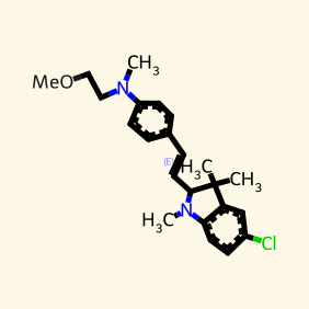 COCCN(C)c1ccc(/C=C/C2N(C)c3ccc(Cl)cc3C2(C)C)cc1